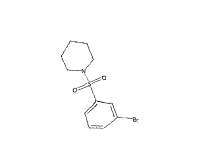 O=S(=O)(c1cccc(Br)c1)N1CCCCC1